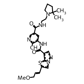 COCC=Cc1cn2ncc(C(=O)Nc3cc(C(=O)NCCN4CCCC4(C)C)cnc3C)c2s1